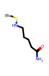 CC(C)(C)SNCCCCC(N)=O